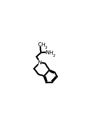 CC(N)CN1CCc2ccccc2C1